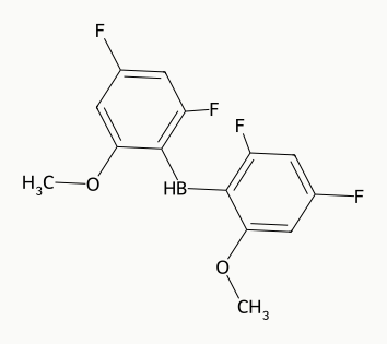 COc1cc(F)cc(F)c1Bc1c(F)cc(F)cc1OC